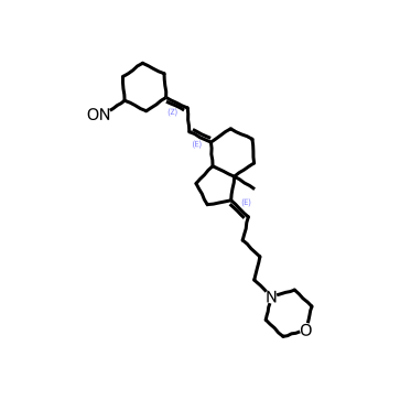 CC12CCC/C(=C\C=C3\CCCC(N=O)C3)C1CC/C2=C\CCCN1CCOCC1